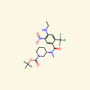 CCNc1cc(C(F)(F)F)c(C(=O)N(C)[C@@H]2CCCN(C(=O)OC(C)(C)C)C2)cc1[N+](=O)[O-]